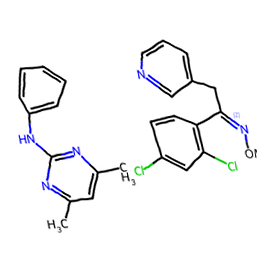 CO/N=C(/Cc1cccnc1)c1ccc(Cl)cc1Cl.Cc1cc(C)nc(Nc2ccccc2)n1